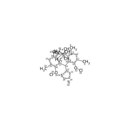 Cc1cc(C)c(C(C)(C)C)c(C(c2cccs2)c2c(OCl)c(C)cc(C)c2C(C)(C)C)c1OCl.[Ti]